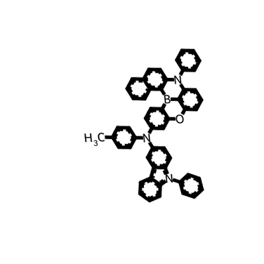 Cc1ccc(N(c2ccc3c(c2)Oc2cccc4c2B3c2c(ccc3ccccc23)N4c2ccccc2)c2ccc3c(c2)c2ccccc2n3-c2ccccc2)cc1